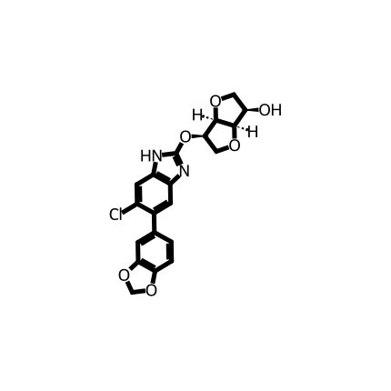 O[C@@H]1CO[C@H]2[C@@H]1OC[C@H]2Oc1nc2cc(-c3ccc4c(c3)OCO4)c(Cl)cc2[nH]1